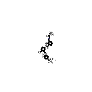 CN(C)c1ccc2[nH]c(-c3cc(NC(=O)c4cccc(/C=C/C(=O)NO)c4)ccc3Cl)nc2c1